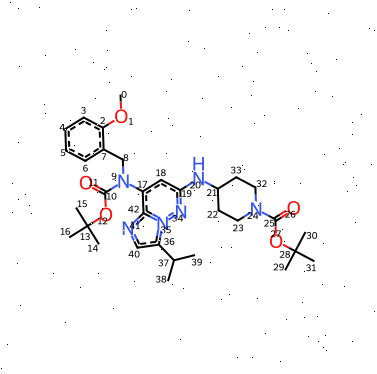 COc1ccccc1CN(C(=O)OC(C)(C)C)c1cc(NC2CCN(C(=O)OC(C)(C)C)CC2)nn2c(C(C)C)cnc12